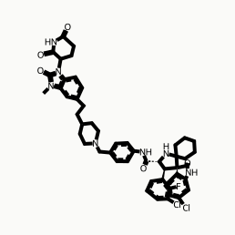 Cn1c(=O)n(C2CCC(=O)NC2=O)c2ccc(CCC3CCN(Cc4ccc(NC(=O)[C@@H]5NC6(CCCCC6)[C@@]6(C(=O)Nc7cc(Cl)ccc76)[C@H]5c5cccc(Cl)c5F)cc4)CC3)cc21